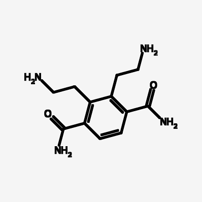 NCCc1c(C(N)=O)ccc(C(N)=O)c1CCN